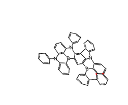 c1ccc(-c2ccccc2B2c3ccccc3-n3c4ccccc4c4c5c(cc2c43)B2c3ccccc3N(c3ccccc3)c3cccc(c32)N5c2ccccc2)cc1